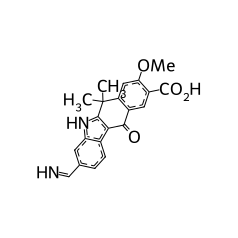 COc1cc2c(cc1C(=O)O)C(=O)c1c([nH]c3cc(C=N)ccc13)C2(C)C